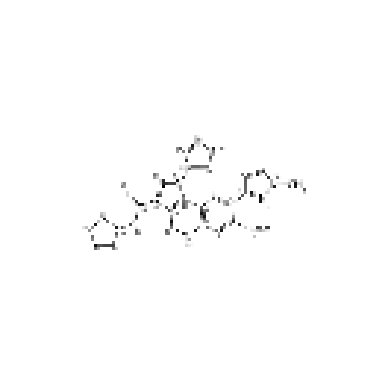 COc1cc2c(cc1-c1ccn(C)n1)-c1c(c(C(=O)OC3CCCC3)nn1-c1ccsc1)CO2